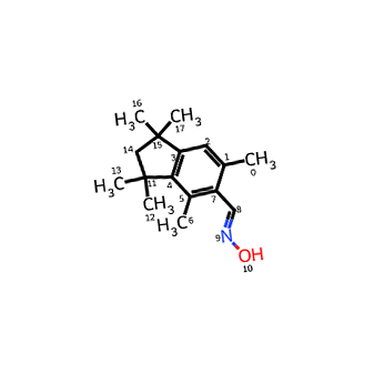 Cc1cc2c(c(C)c1C=NO)C(C)(C)CC2(C)C